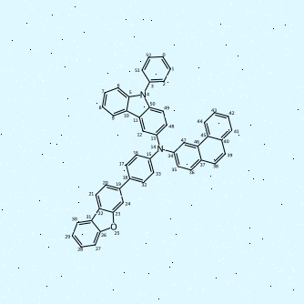 c1ccc(-n2c3ccccc3c3cc(N(c4ccc(-c5ccc6c(c5)oc5ccccc56)cc4)c4ccc5ccc6ccccc6c5c4)ccc32)cc1